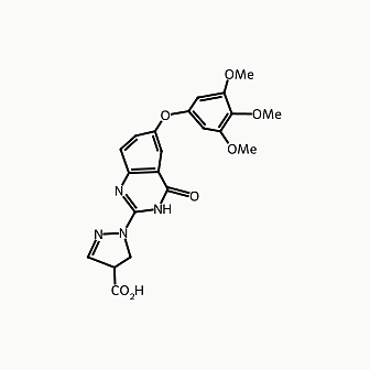 COc1cc(Oc2ccc3nc(N4CC(C(=O)O)C=N4)[nH]c(=O)c3c2)cc(OC)c1OC